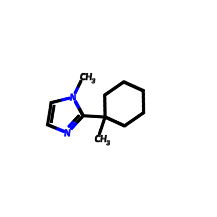 Cn1ccnc1C1(C)CCCCC1